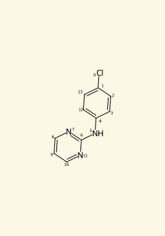 Clc1ccc(Nc2ncccn2)cc1